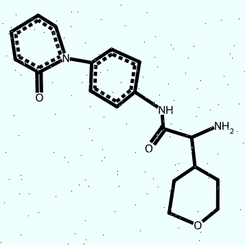 NC(C(=O)Nc1ccc(-n2ccccc2=O)cc1)C1CCOCC1